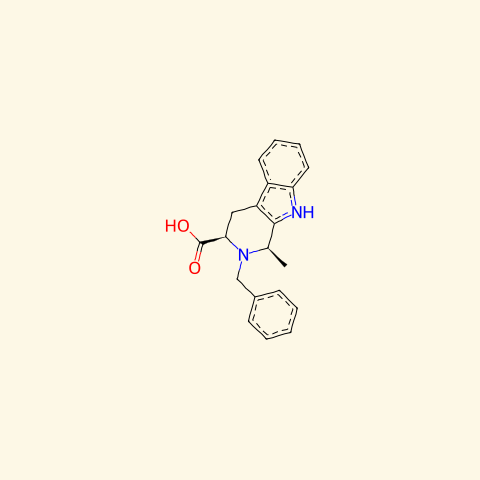 C[C@@H]1c2[nH]c3ccccc3c2C[C@H](C(=O)O)N1Cc1ccccc1